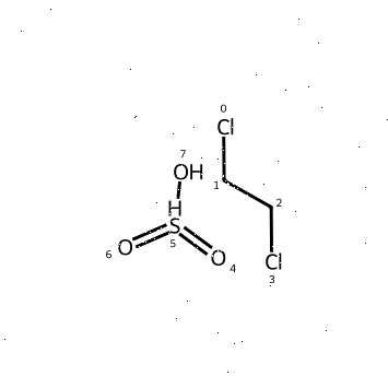 ClCCCl.O=[SH](=O)O